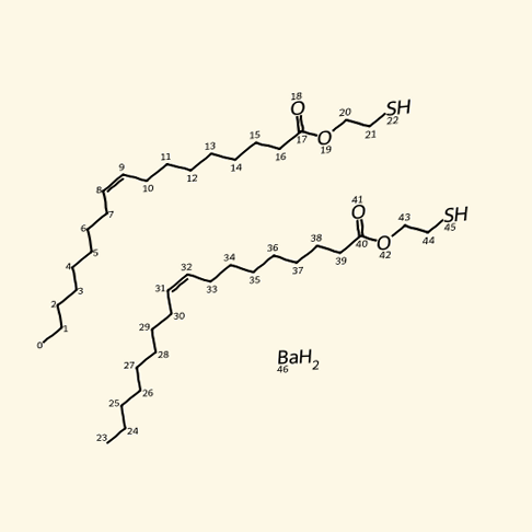 CCCCCCCC/C=C\CCCCCCCC(=O)OCCS.CCCCCCCC/C=C\CCCCCCCC(=O)OCCS.[BaH2]